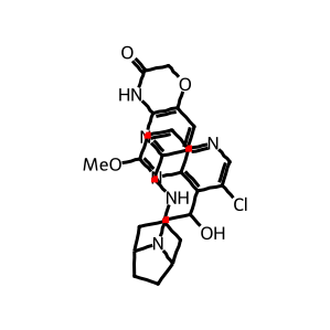 COc1ccc2ncc(Cl)c(C(O)CN3C4CCC3CC(NCc3ccc5c(n3)NC(=O)CO5)C4)c2n1